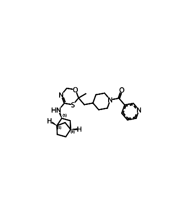 CC1(CC2CCN(C(=O)c3cccnc3)CC2)OCN=C(N[C@H]2C[C@@H]3CC[C@H]2C3)S1